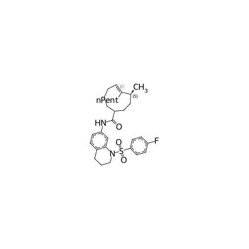 CCCCC/C1=C\CCCC(C(=O)Nc2ccc3c(c2)N(S(=O)(=O)c2ccc(F)cc2)CCC3)CC[C@@H]1C